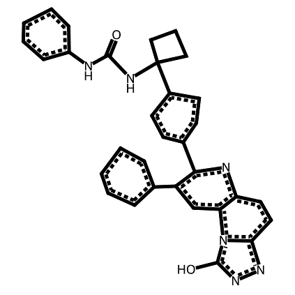 O=C(Nc1ccccc1)NC1(c2ccc(-c3nc4ccc5nnc(O)n5c4cc3-c3ccccc3)cc2)CCC1